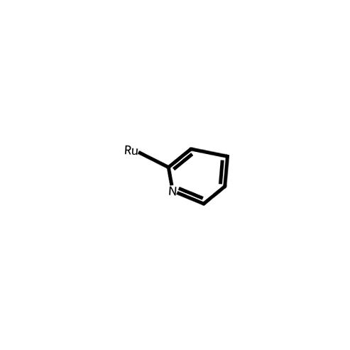 [Ru][c]1ccccn1